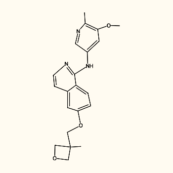 COc1cc(Nc2nccc3cc(OCC4(C)COC4)ccc23)cnc1C